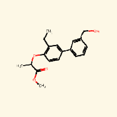 CCc1cc(-c2cccc(CO)c2)ccc1OC(C)C(=O)OC